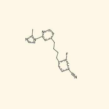 Cc1nccn1-c1cc(CCCCc2ccc(C#N)cc2F)ccn1